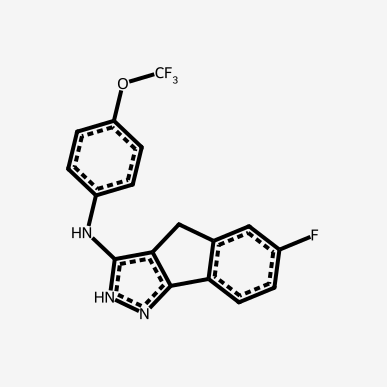 Fc1ccc2c(c1)Cc1c-2n[nH]c1Nc1ccc(OC(F)(F)F)cc1